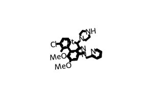 CCC(c1nn(Cc2ccccn2)c2cc(OC)c(OC)c(-c3cccc(Cl)c3C)c12)N1CCNCC1